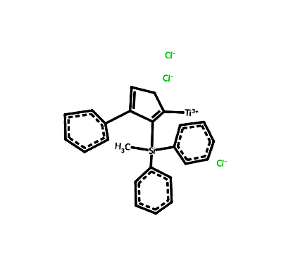 C[Si](C1=[C]([Ti+3])CC=C1c1ccccc1)(c1ccccc1)c1ccccc1.[Cl-].[Cl-].[Cl-]